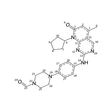 Cc1cc(=O)n(C2CCCC2)c2nc(Nc3ccc(N4CCN(C=O)CC4)cc3)ncc12